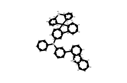 c1ccc(N(c2cccc(-c3cccc4c3sc3ccccc34)c2)c2ccc3c(c2)-c2ccccc2C32c3ccccc3Oc3ccccc32)cc1